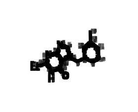 CCc1nc2ncn(Cc3cccc(C)c3)c2c(=O)[nH]1